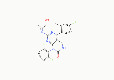 Cc1cc(F)ccc1-c1nc(N[C@H](C)CO)nc2c1CNC(=O)N2c1c(F)cccc1F